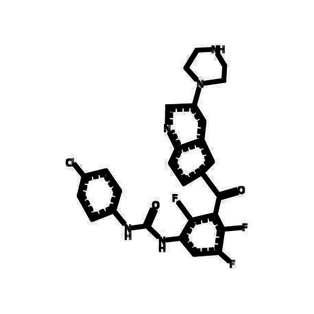 O=C(Nc1ccc(Cl)cc1)Nc1cc(F)c(F)c(C(=O)c2ccc3ncc(N4CCNCC4)cc3c2)c1F